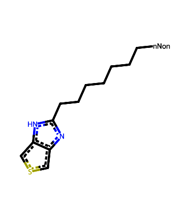 CCCCCCCCCCCCCCCCc1nc2cscc2[nH]1